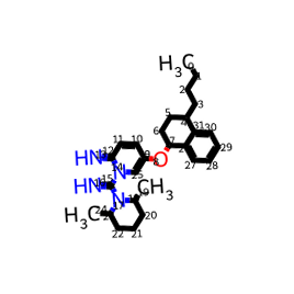 CCCCC1CCC(Oc2ccc(=N)n(C(=N)N3C(C)CCCC3C)c2)c2ccccc21